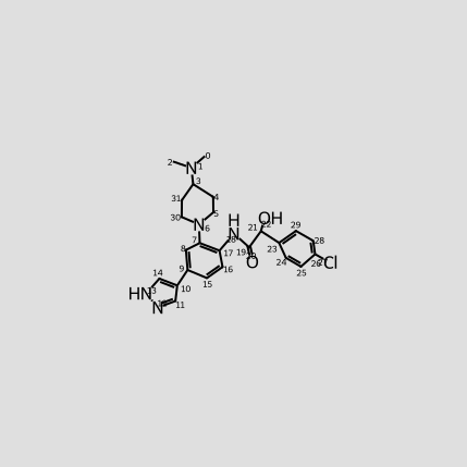 CN(C)C1CCN(c2cc(-c3cn[nH]c3)ccc2NC(=O)C(O)c2ccc(Cl)cc2)CC1